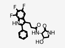 O=C(CCc1c(-c2ccccc2)[nH]c2c(F)c(F)c(F)cc12)N[C@@H]1C(=O)NC[C@H]1O